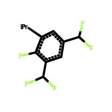 CC(C)c1cc(C(F)F)cc(C(F)F)c1F